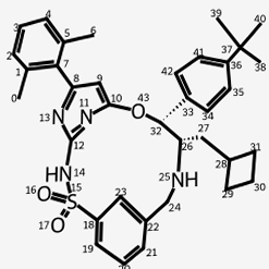 Cc1cccc(C)c1-c1cc2nc(n1)NS(=O)(=O)c1cccc(c1)CN[C@@H](CC1CCC1)[C@@H](c1ccc(C(C)(C)C)cc1)O2